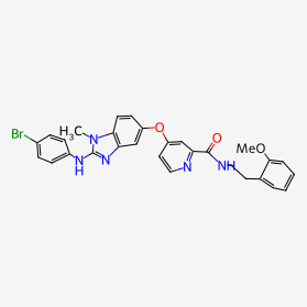 COc1ccccc1CCNC(=O)c1cc(Oc2ccc3c(c2)nc(Nc2ccc(Br)cc2)n3C)ccn1